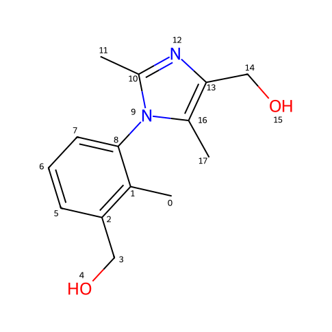 Cc1c(CO)cccc1-n1c(C)nc(CO)c1C